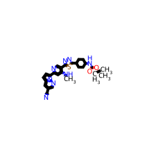 CNc1cc(-c2ccc3cc(C#N)cnn23)ncc1-c1nnc(C2CCC(NC(=O)OC(C)(C)C)CC2)s1